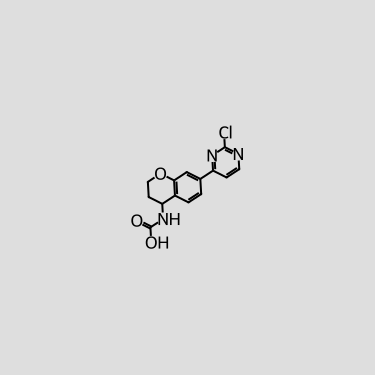 O=C(O)NC1CCOc2cc(-c3ccnc(Cl)n3)ccc21